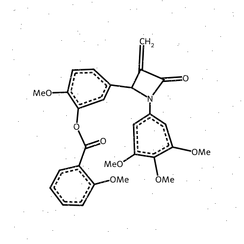 C=C1C(=O)N(c2cc(OC)c(OC)c(OC)c2)C1c1ccc(OC)c(OC(=O)c2ccccc2OC)c1